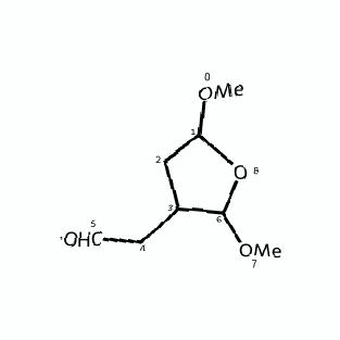 COC1CC(C[C]=O)C(OC)O1